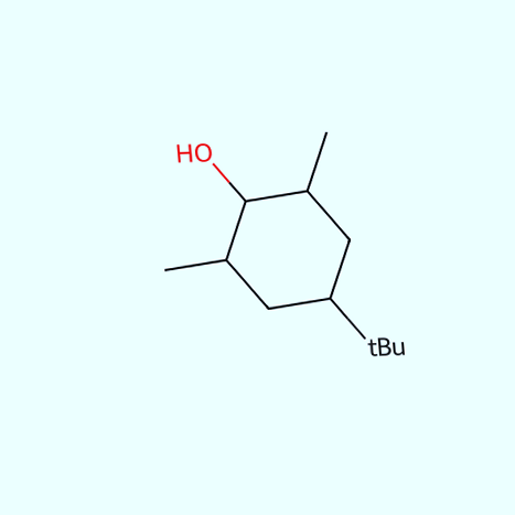 CC1CC(C(C)(C)C)CC(C)C1O